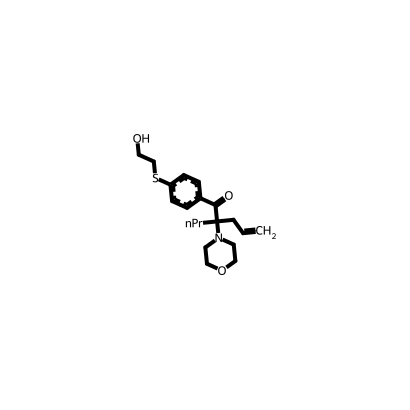 C=CCC(CCC)(C(=O)c1ccc(SCCO)cc1)N1CCOCC1